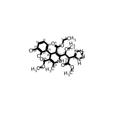 CCOC(=O)C1=C(C(OC)C(C(=O)OC)c2nnn[nH]2)NC(C)=C(C(=O)OC)C1c1cccc(Cl)c1Cl